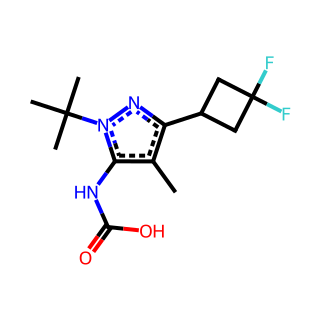 Cc1c(C2CC(F)(F)C2)nn(C(C)(C)C)c1NC(=O)O